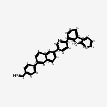 SCc1ccc(-c2ccc3cc(-c4ccc(-c5cccc6c5sc5ncccc56)nc4)ccc3c2)cc1